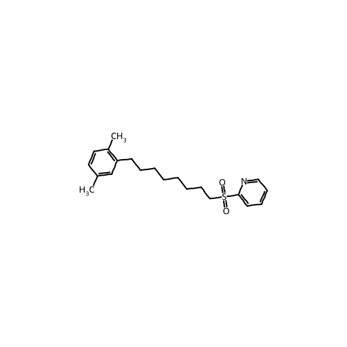 Cc1ccc(C)c(CCCCCCCCS(=O)(=O)c2ccccn2)c1